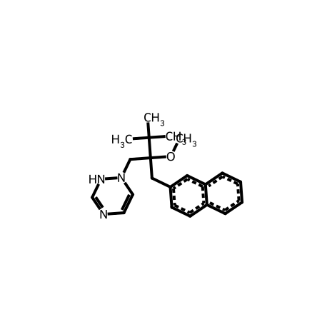 COC(Cc1ccc2ccccc2c1)(CN1C=CN=CN1)C(C)(C)C